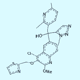 COc1nc2ccc(C(O)(c3ccc(C)nc3C)c3cnnn3C)cc2c(Cl)c1OCc1nccs1